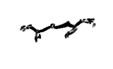 FC(F)(F)POPC(F)(F)F